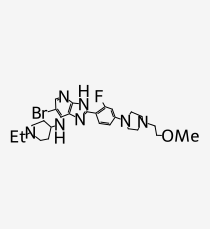 CCN1CCC(Nc2c(Br)cnc3[nH]c(-c4ccc(N5CCN(CCOC)CC5)cc4F)nc23)CC1